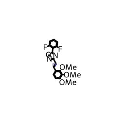 COc1ccc(/C=C/c2noc(-c3c(F)cccc3F)n2)c(OC)c1OC